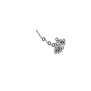 C=C(C)C(=O)OCC(COC(=O)C(=O)OC)(COC(=O)C(=O)OC)COc1ccc(-c2ccc(CCc3ccc(CCCCCCCC)cc3)cc2)cc1COCC1(CC)COC1